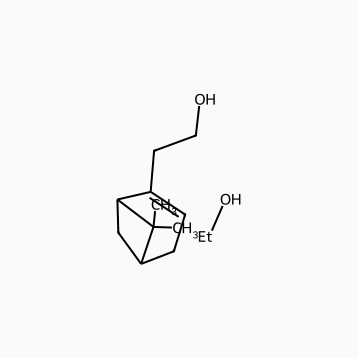 CC1(C)C2CC=C(CCO)C1C2.CCO